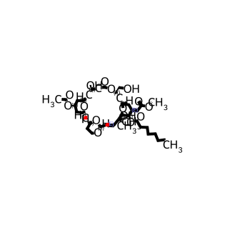 CCCCCCCC(=O)O[C@H]1/C(=C/C(=O)OC)C[C@H]2C[C@H](CO)OC(=O)C[C@H](O)C[C@@H]3C[C@H](OC(C)=O)C[C@H](C[C@@H]4CCO[C@H](/C=C/C(C)(C)[C@]1(O)O2)O4)O3